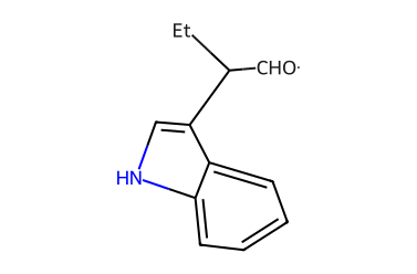 CCC([C]=O)c1c[nH]c2ccccc12